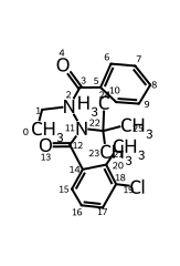 CCN(C(=O)c1ccccc1)N(C(=O)c1cccc(Cl)c1C)C(C)(C)C